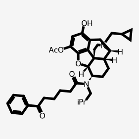 CC(=O)Oc1cc(O)c2c3c1O[C@H]1[C@@H](N(CC(C)C)C(=O)CCCCC(=O)c4ccccc4)CC[C@H]4[C@@H](C2)N(CC2CC2)CC[C@@]341